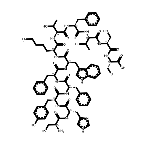 CC(O)[C@H](NC(=O)[C@H](Cc1ccccc1)NC(=O)[C@@H](NC(=O)[C@H](CCCCN)NC(=O)[C@@H](Cc1c[nH]c2ccccc12)NC(=O)[C@H](Cc1ccccc1)NC(=O)[C@H](Cc1ccccc1)NC(=O)[C@H](Cc1ccc(O)cc1)NC(=O)[C@H](Cc1c[nH]cn1)NC(=O)[C@@H](N)CS)C(C)O)C(=O)N[C@@H](CO)C(=O)N[C@@H](CS)C(=O)O